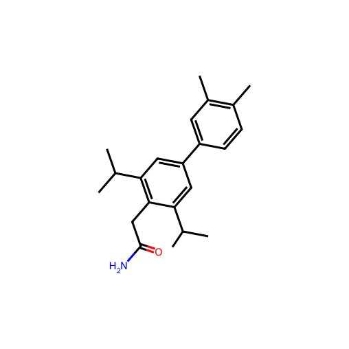 Cc1ccc(-c2cc(C(C)C)c(CC(N)=O)c(C(C)C)c2)cc1C